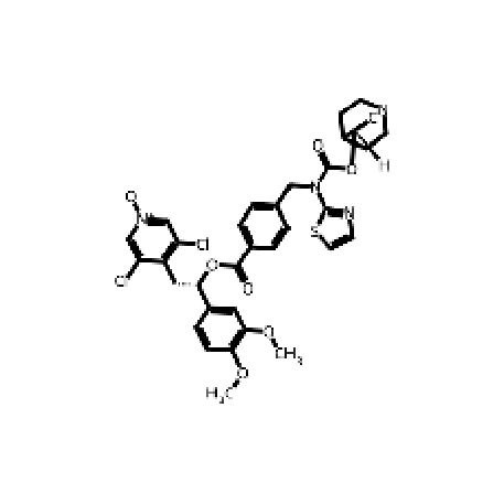 COc1ccc([C@H](Cc2c(Cl)c[n+]([O-])cc2Cl)OC(=O)c2ccc(CN(C(=O)O[C@H]3CN4CCC3CC4)c3nccs3)cc2)cc1OC